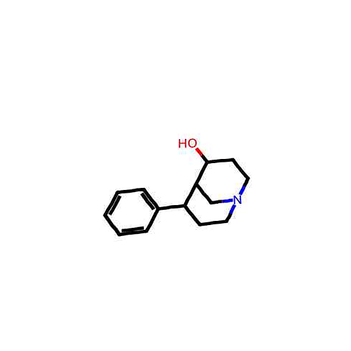 OC1CCN2CCC(c3ccccc3)C1C2